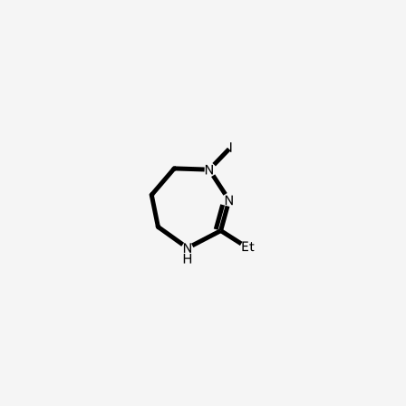 CCC1=NN(I)CCCN1